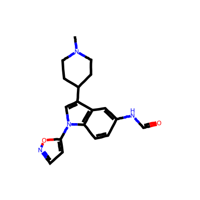 CN1CCC(c2cn(-c3ccno3)c3ccc(NC=O)cc23)CC1